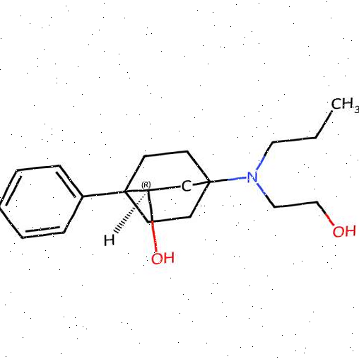 CCCN(CCO)C12CCC(c3ccccc3)(CC1)[C@H](O)C2